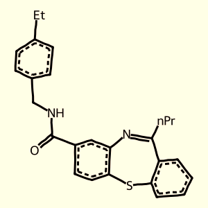 CCCC1=Nc2cc(C(=O)NCc3ccc(CC)cc3)ccc2Sc2ccccc21